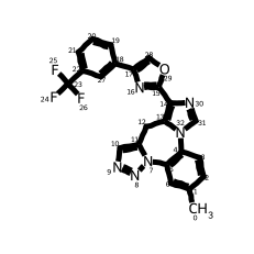 Cc1ccc2c(c1)-n1nncc1Cc1c(-c3nc(-c4cccc(C(F)(F)F)c4)co3)ncn1-2